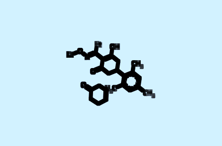 CCON=C(CC)C1=C(O)CC(c2c(C)cc(C)cc2C)CC1=O.O=C1CC=CCC1